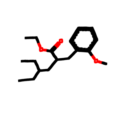 CCOC(=O)C(Cc1ccccc1OC)CC(CC)CC